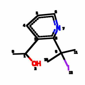 CC(O)c1cccnc1C(C)(C)I